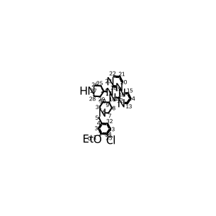 CCOc1cc(CN2CCC(N(c3ncccn3)N(c3ncccn3)C3CCNCC3)CC2)ccc1Cl